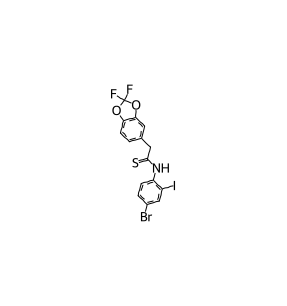 FC1(F)Oc2ccc(CC(=S)Nc3ccc(Br)cc3I)cc2O1